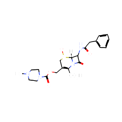 CN1CCN(C(=O)OCC2=C(C(=O)O)N3C(=O)C(NC(=O)Cc4ccccc4)[C@H]3[S+]([O-])C2)CC1